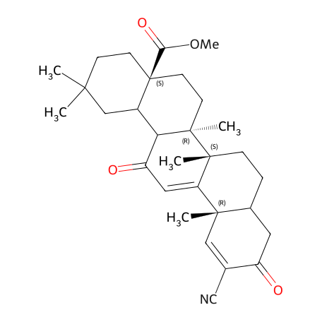 COC(=O)[C@]12CCC(C)(C)CC1C1C(=O)C=C3[C@@]4(C)C=C(C#N)C(=O)CC4CC[C@@]3(C)[C@]1(C)CC2